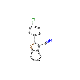 N#Cc1c(-c2ccc(Cl)cc2)sc2ccccc12